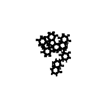 c1cc(-c2cnc3ccccc3c2)cc(-c2nc3ccccc3c3c4c(ccc23)C2(c3ccccc3-c3ccccc32)c2ccccc2-4)c1